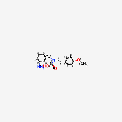 COc1ccc(CCN(Cc2cccc(N)c2)C(=O)O)cc1